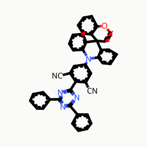 N#Cc1cc(N2c3ccccc3C3(c4ccccc4Oc4ccccc43)c3ccccc32)cc(C#N)c1-c1nc(-c2ccccc2)nc(-c2ccccc2)n1